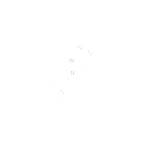 Cn1ccnc1C(=O)Nc1ccc(-c2ccccn2)cn1